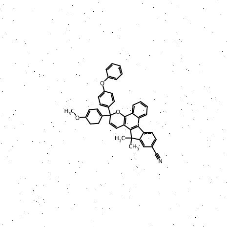 COC1=CC=C(C2(c3ccc(Oc4ccccc4)cc3)C=Cc3c4c(c5ccccc5c3O2)-c2ccc(C#N)cc2C4(C)C)CC1